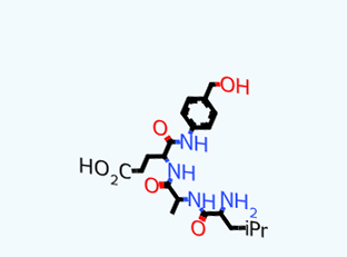 CC(C)CC(N)C(=O)NC(C)C(=O)NC(CCC(=O)O)C(=O)Nc1ccc(CO)cc1